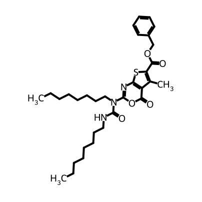 CCCCCCCCNC(=O)N(CCCCCCCC)c1nc2sc(C(=O)OCc3ccccc3)c(C)c2c(=O)o1